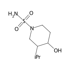 CC(C)C1CN(S(N)(=O)=O)CCC1O